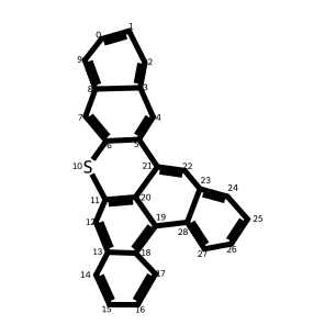 c1ccc2cc3c(cc2c1)Sc1cc2ccccc2c2c1c-3cc1ccccc12